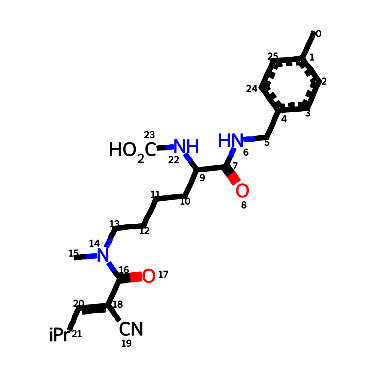 Cc1ccc(CNC(=O)C(CCCCN(C)C(=O)C(C#N)=CC(C)C)NC(=O)O)cc1